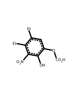 CCc1cc(OC(=O)O)c(O)c([N+](=O)[O-])c1CC